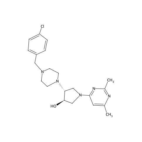 Cc1cc(N2C[C@@H](O)[C@H](N3CCN(Cc4ccc(Cl)cc4)CC3)C2)nc(C)n1